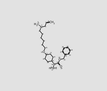 C=CCN(C)CCCCCCOC1CCC(N(CCCCC)C(=O)OCc2ccccc2)CC1